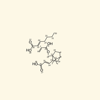 C=CC(=O)O.CC1(C)C2CCC1(C)C(C=CC(=O)O)C2.CCCCC=CC(=O)O